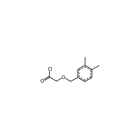 Cc1ccc(COCC(=O)Cl)cc1C